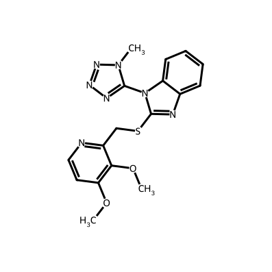 COc1ccnc(CSc2nc3ccccc3n2-c2nnnn2C)c1OC